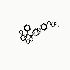 O=C(C(c1ccccc1)N1C(=O)CCC1=O)N1CCN(c2ccc(OC(F)(F)F)cc2)CC1